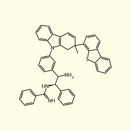 CC1(c2cccc3c2sc2ccccc23)C=Cc2c(n(-c3cccc(C(N)[C@H](NC(=N)c4ccccc4)c4ccccc4)c3)c3ccccc23)C1